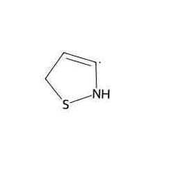 [C]1=CCSN1